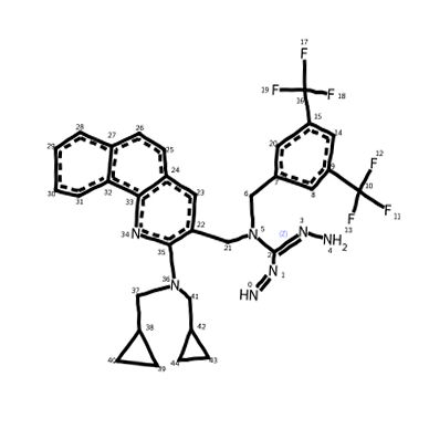 N=N/C(=N\N)N(Cc1cc(C(F)(F)F)cc(C(F)(F)F)c1)Cc1cc2ccc3ccccc3c2nc1N(CC1CC1)CC1CC1